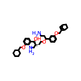 NCCC(OCC[C@H](CN)[C@@H](O)c1cccc(OCC2CCCCC2)c1)c1cccc(OCC2CC3CCC2C3)c1